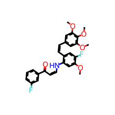 COc1cc(N/C=C\C(=O)c2cccc(F)c2)c(/C=C\c2cc(OC)c(OC)c(OC)c2)cc1F